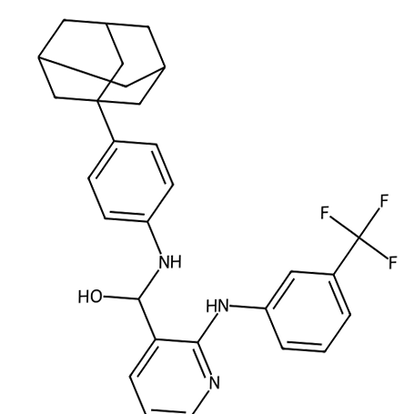 OC(Nc1ccc(C23CC4CC(CC(C4)C2)C3)cc1)c1cccnc1Nc1cccc(C(F)(F)F)c1